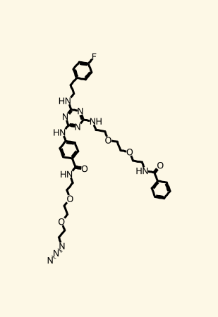 [N-]=[N+]=NCCOCCOCCNC(=O)c1ccc(Nc2nc(NCCOCCOCCNC(=O)c3ccccc3)nc(NCCc3ccc(F)cc3)n2)cc1